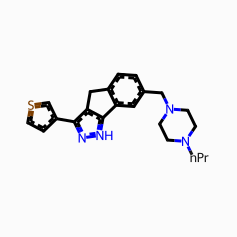 CCCN1CCN(Cc2ccc3c(c2)-c2[nH]nc(-c4ccsc4)c2C3)CC1